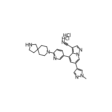 Cl.Cl.Cn1cc(-c2cc(-c3ccc(N4CCC5(CCNC5)CC4)nc3)c3c(C#N)cnn3c2)cn1